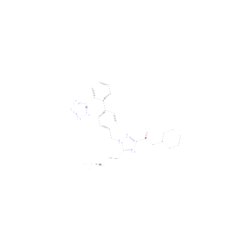 C=CCCc1nc(C(=O)CC2CCCCC2)nn1Cc1ccc(-c2ccccc2-c2nnn[nH]2)cc1